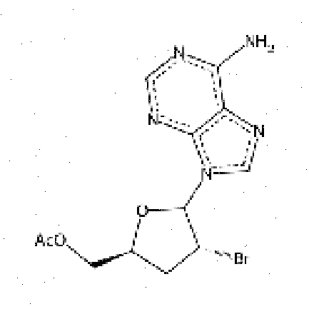 CC(=O)OC[C@@H]1C[C@@H](Br)C(n2cnc3c(N)ncnc32)O1